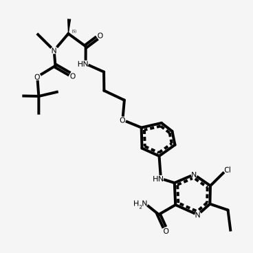 CCc1nc(C(N)=O)c(Nc2cccc(OCCCNC(=O)[C@H](C)N(C)C(=O)OC(C)(C)C)c2)nc1Cl